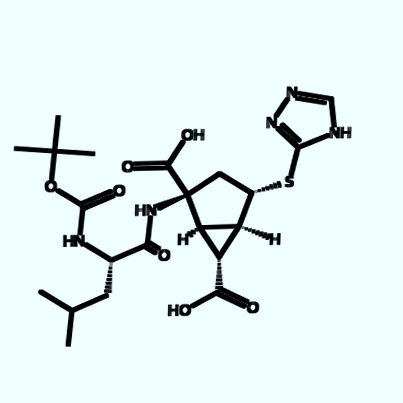 CC(C)C[C@H](NC(=O)OC(C)(C)C)C(=O)N[C@@]1(C(=O)O)C[C@H](Sc2nnc[nH]2)[C@H]2[C@H](C(=O)O)[C@H]21